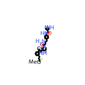 COC(F)CCc1cccc2c(C)c(C3CCCN(C(=O)CC(N)Cc4ccc(NC(=O)c5cn[nH]c5)cc4)C3)[nH]c12